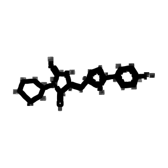 O=C1/C(=C/c2ccc(-c3ccc(F)cc3)s2)SC(=S)N1C1CCCCC1